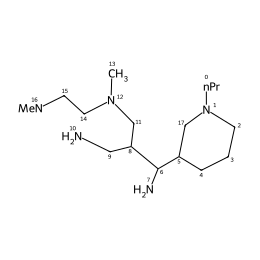 CCCN1CCCC(C(N)C(CN)CN(C)CCNC)C1